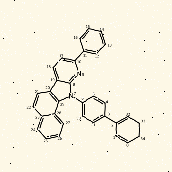 C1=CC(c2ccc(-n3c4nc(-c5ccccc5)ccc4c4ccc5ccccc5c43)cc2)=CCC1